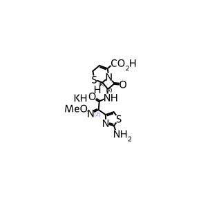 CO/N=C(\C(=O)N[C@@H]1C(=O)N2C(C(=O)O)=CCS[C@H]12)c1csc(N)n1.[KH]